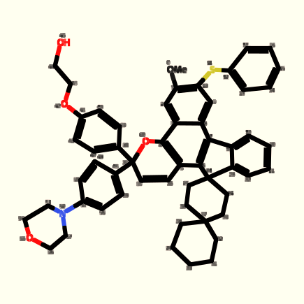 COc1cc2c3c(c4c(c2cc1Sc1ccccc1)-c1ccccc1C41CCC2(CCCCC2)CC1)C=CC(c1ccc(OCCO)cc1)(c1ccc(N2CCOCC2)cc1)O3